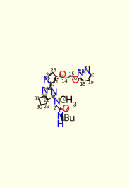 CN(CC(=O)NC(C)(C)C)c1nc(-c2cc(OCCOc3cccnn3)ccn2)nc2c1CCC2